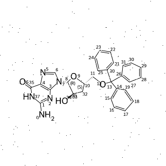 Nc1nc2c(ncn2[C@@H]2O[C@H](COC(c3ccccc3)(c3ccccc3)c3ccccc3)C[C@H]2O)c(=O)[nH]1